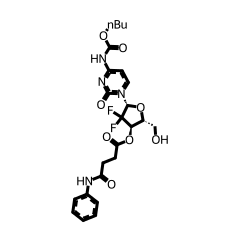 CCCCOC(=O)Nc1ccn([C@@H]2O[C@H](CO)[C@@H](OC(=O)CCC(=O)Nc3ccccc3)C2(F)F)c(=O)n1